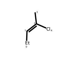 [CH2]C/C=C(/C)Cl